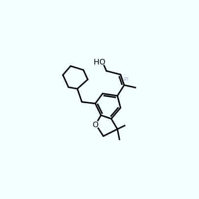 C/C(=C/CO)c1cc(CC2CCCCC2)c2c(c1)C(C)(C)CO2